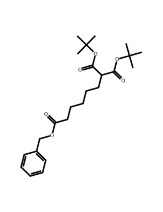 CC(C)(C)OC(=O)C(CCCCCC(=O)OCc1ccccc1)C(=O)OC(C)(C)C